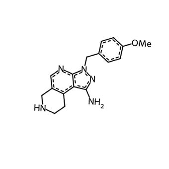 COc1ccc(Cn2nc(N)c3c4c(cnc32)CNCC4)cc1